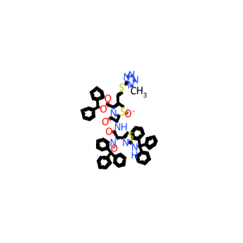 Cn1nnnc1S/C=C/C1=C(C(=O)OC(c2ccccc2)c2ccccc2)N2C(=O)C(NC(=O)/C(=N/OC(c3ccccc3)(c3ccccc3)c3ccccc3)c3csc(NC(c4ccccc4)(c4ccccc4)c4ccccc4)n3)C2[S+]([O-])C1